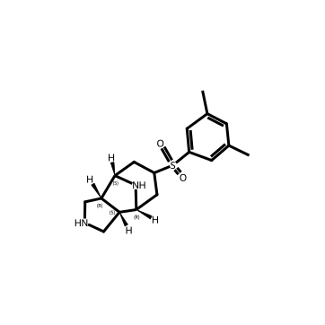 Cc1cc(C)cc(S(=O)(=O)C2C[C@@H]3N[C@H](C2)[C@@H]2CNC[C@@H]23)c1